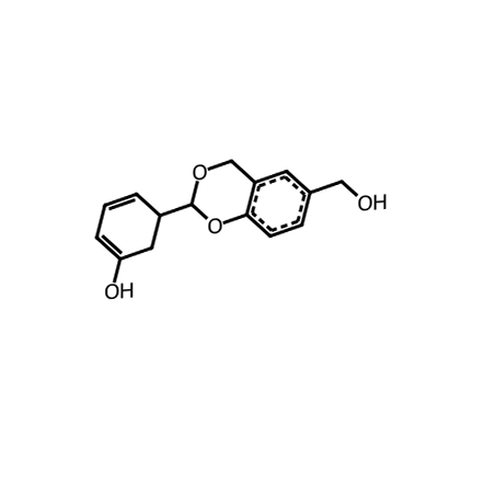 OCc1ccc2c(c1)COC(C1C=CC=C(O)C1)O2